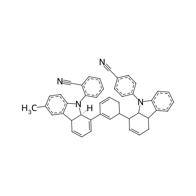 Cc1ccc2c(c1)C1C=CC=C(C3=CC(C4C=CCC5c6ccccc6N(c6ccc(C#N)cc6)C54)CC=C3)[C@@H]1N2c1ccccc1C#N